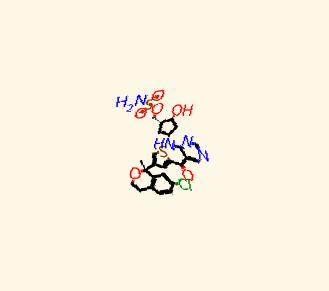 C[C@]1(c2csc(C(=O)c3cncnc3N[C@@H]3C[C@H](COS(N)(=O)=O)[C@@H](O)C3)c2)OCCc2ccc(Cl)cc21